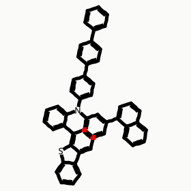 c1ccc(-c2ccc(-c3ccc(N(c4cccc(-c5cccc6ccccc56)c4)c4ccccc4-c4cccc5c4sc4ccccc45)cc3)cc2)cc1